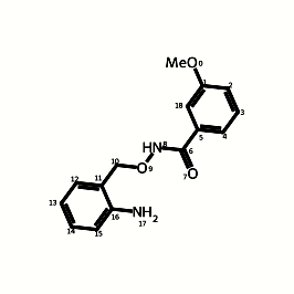 COc1cccc(C(=O)NOCc2ccccc2N)c1